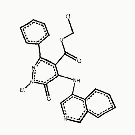 CCn1nc(-c2ccccc2)c(C(=O)OCCl)c(Nc2cncc3ccccc23)c1=O